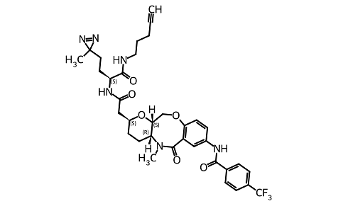 C#CCCCNC(=O)[C@H](CCC1(C)N=N1)NC(=O)C[C@@H]1CC[C@@H]2[C@@H](COc3ccc(NC(=O)c4ccc(C(F)(F)F)cc4)cc3C(=O)N2C)O1